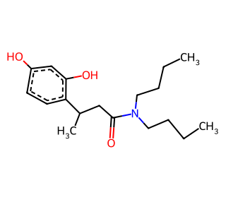 CCCCN(CCCC)C(=O)CC(C)c1ccc(O)cc1O